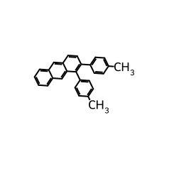 Cc1ccc(-c2ccc3cc4ccccc4cc3c2-c2ccc(C)cc2)cc1